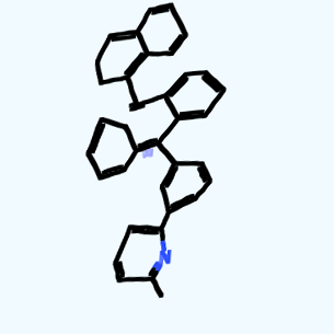 C=C(C1=c2ccccc2=CCC1)c1ccccc1/C(=C1/C=CC=CC1)c1cccc(-c2cccc(C)n2)c1